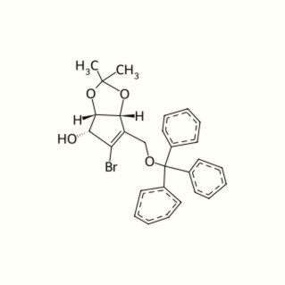 CC1(C)O[C@@H]2[C@H](O1)C(COC(c1ccccc1)(c1ccccc1)c1ccccc1)=C(Br)[C@@H]2O